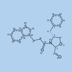 O=CC1OC[C@@H](Cc2ccccc2)N1C(=O)CCc1csc2ccccc12